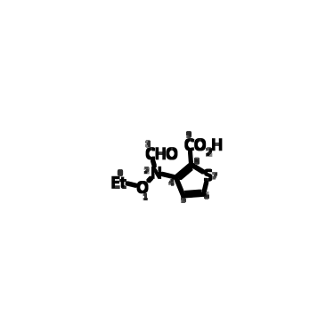 CCON(C=O)c1ccsc1C(=O)O